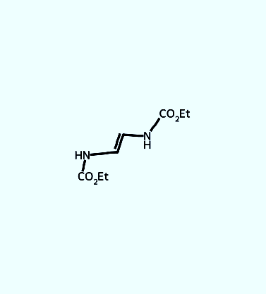 CCOC(=O)NC=CNC(=O)OCC